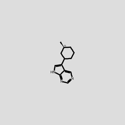 C[C@H]1CCCC(c2c[nH]c3ncncc23)C1